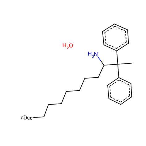 CCCCCCCCCCCCCCCCCC(N)C(C)(c1ccccc1)c1ccccc1.O